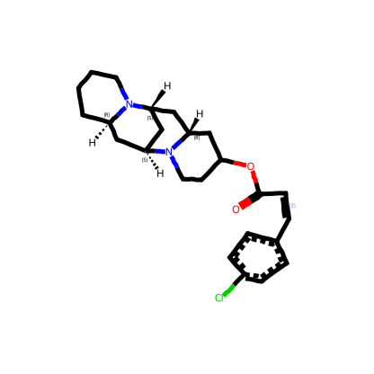 O=C(/C=C\c1ccc(Cl)cc1)OC1CCN2[C@@H]3C[C@@H](C[C@@H]2C1)N1CCCC[C@@H]1C3